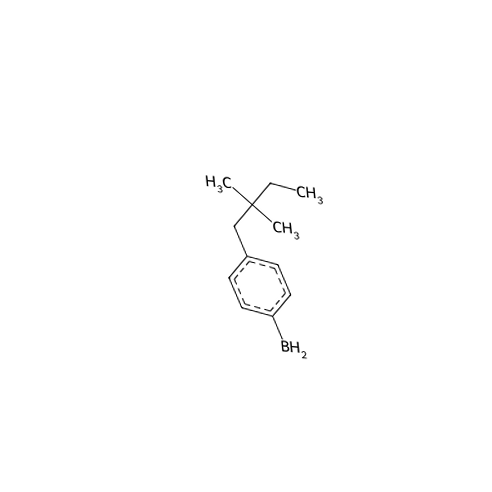 Bc1ccc(CC(C)(C)CC)cc1